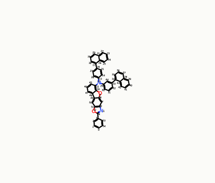 c1ccc(-c2nc3cc4oc5c(N(c6ccc(-c7cccc8ccccc78)cc6)c6cccc(-c7cccc8ccccc78)c6)cccc5c4cc3o2)cc1